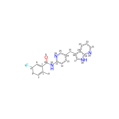 CC1=CCC(F)C=C1C(=O)Nc1ccc(Cc2c[nH]c3ncccc23)cn1